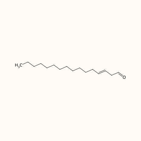 CCCCCCCCCCCCC=CCC=O